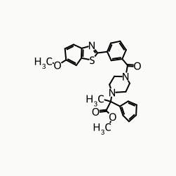 COC(=O)C(C)(c1ccccc1)N1CCN(C(=O)c2cccc(-c3nc4ccc(OC)cc4s3)c2)CC1